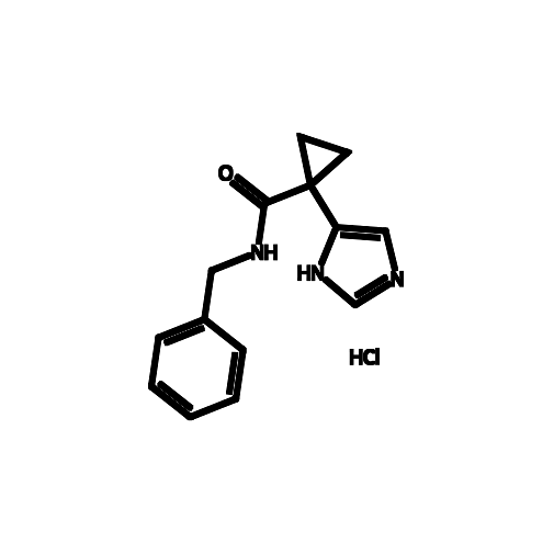 Cl.O=C(NCc1ccccc1)C1(c2cnc[nH]2)CC1